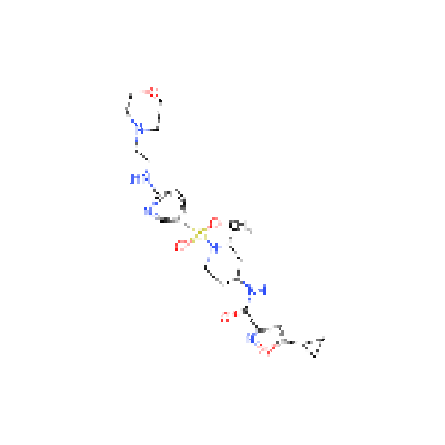 C[C@@H]1C[C@@H](NC(=O)c2cc(C3CC3)on2)CCN1S(=O)(=O)c1ccc(NCCN2CCOCC2)nc1